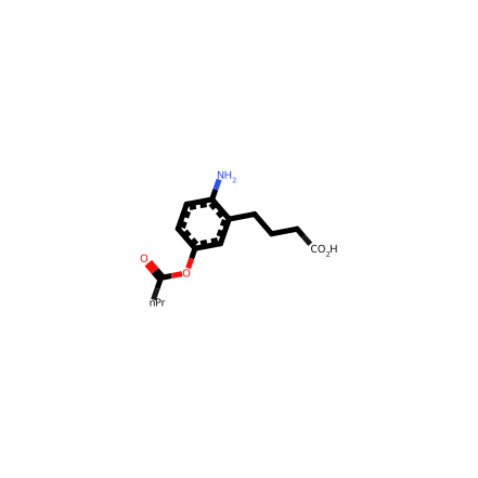 CCCC(=O)Oc1ccc(N)c(CCCC(=O)O)c1